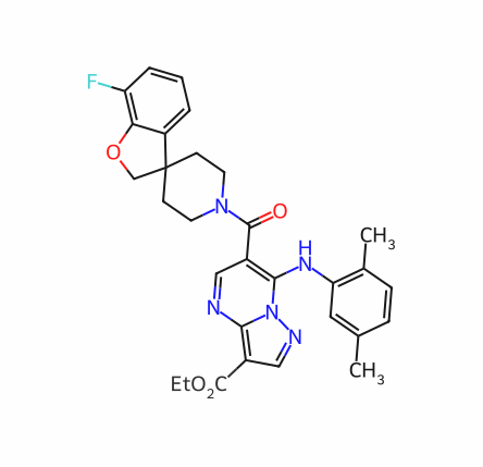 CCOC(=O)c1cnn2c(Nc3cc(C)ccc3C)c(C(=O)N3CCC4(CC3)COc3c(F)cccc34)cnc12